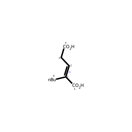 CCCC/C(=C\CC(=O)O)C(=O)O